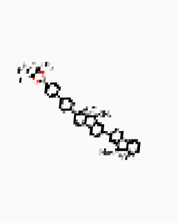 CCCCCCCCC1(CCCCCC)c2ccccc2-c2ccc(-c3ccc4c(c3)C(C)(C)c3cc(-c5ccc(-c6ccc(B7OC(C)(C)C(C)(C)O7)cc6)cc5)ccc3-4)cc21